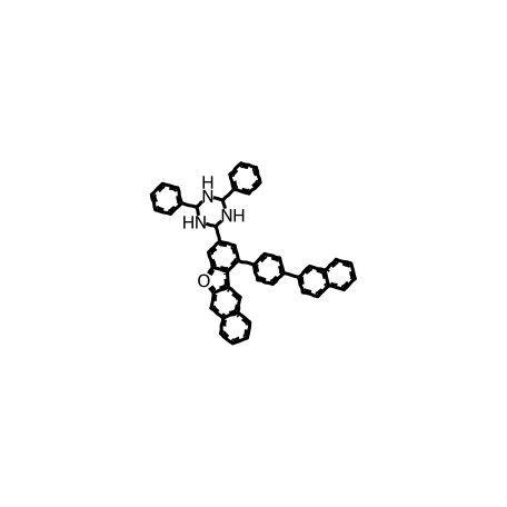 c1ccc(C2NC(c3ccccc3)NC(c3cc(-c4ccc(-c5ccc6ccccc6c5)cc4)c4c(c3)oc3cc5ccccc5cc34)N2)cc1